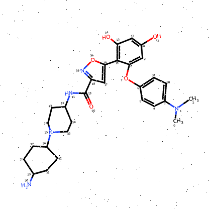 CN(C)c1ccc(Oc2cc(O)cc(O)c2-c2cc(C(=O)NC3CCN(C4CCC(N)CC4)CC3)no2)cc1